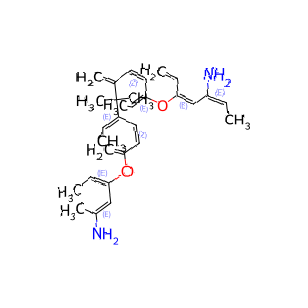 C=C/C(=C\C(N)=C/C)OC(/C=C\C(=C)C(C)(C)C(/C=C\C(=C)OC(/C=C(\C)N)=C/C)=C/C)=C/C